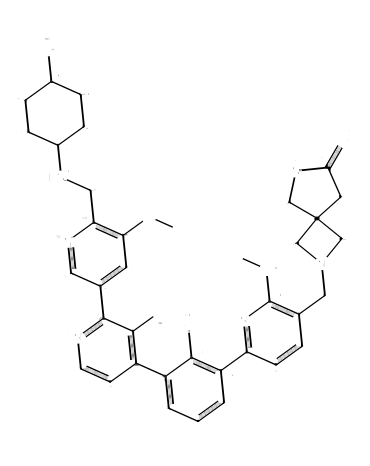 COc1cc(-c2nccc(-c3cccc(-c4ccc(CN5CC6(CNC(=O)C6)C5)c(OC)n4)c3Cl)c2Cl)cnc1CNC1CCC(O)CC1